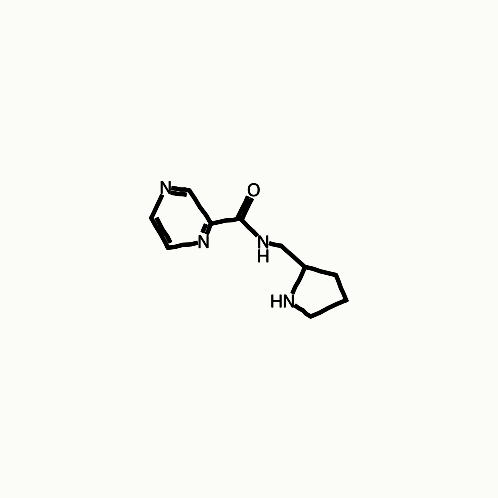 O=C(NCC1CCCN1)c1cnccn1